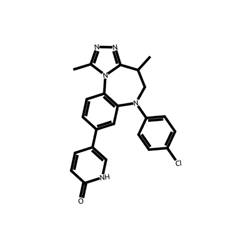 Cc1nnc2n1-c1ccc(-c3ccc(=O)[nH]c3)cc1N(c1ccc(Cl)cc1)CC2C